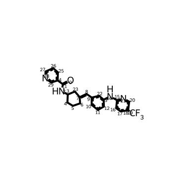 O=C(NC1CCCC(=Cc2cccc(Nc3ccc(C(F)(F)F)cn3)c2)C1)c1cccnc1